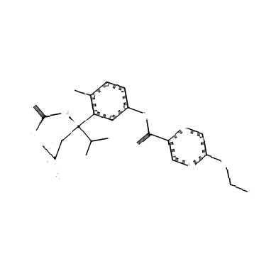 NC(=O)N[C@@](c1cc(NC(=O)c2cnc(OCC(F)(F)F)cn2)ccc1F)(C(F)F)[C@H]1C[C@H]1N